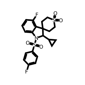 O=S1(=O)CCC2(CC1)c1c(F)cccc1N(S(=O)(=O)c1ccc(F)cc1)C2C1CC1